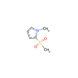 Cn1cccc1S(C)(=O)=O